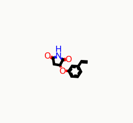 C=Cc1cccc(OC2CC(=O)NC2=O)c1